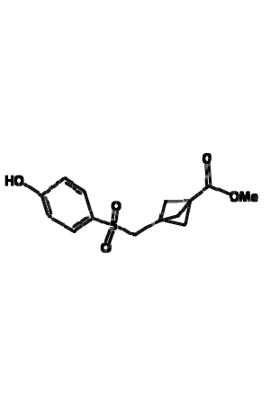 COC(=O)C12CC(CS(=O)(=O)c3ccc(O)cc3)(C1)C2